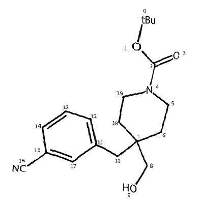 CC(C)(C)OC(=O)N1CCC(CO)(Cc2cccc(C#N)c2)CC1